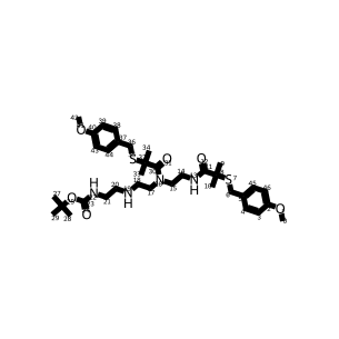 COc1ccc(CSC(C)(C)C(=O)NCCN(CCNCCNC(=O)OC(C)(C)C)C(=O)C(C)(C)SCc2ccc(OC)cc2)cc1